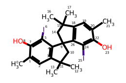 Cc1cc2c(c(I)c1O)C1(CC2(C)C)CC(C)(C)c2cc(C)c(O)c(I)c21